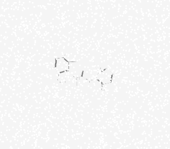 Nc1cccc(F)c1NC(=S)Nc1c(Cl)cccc1Cl